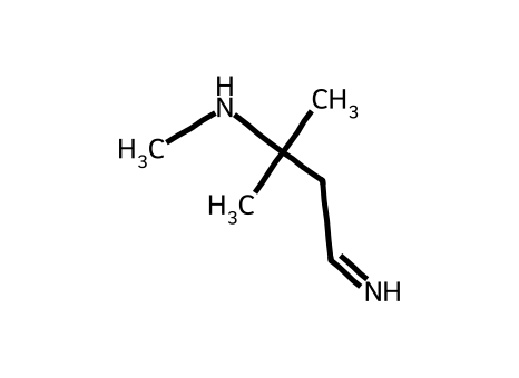 CNC(C)(C)CC=N